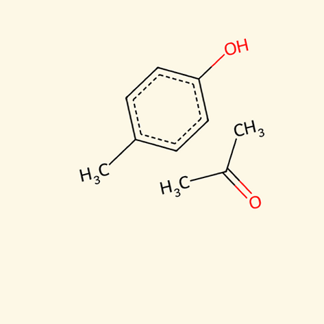 CC(C)=O.Cc1ccc(O)cc1